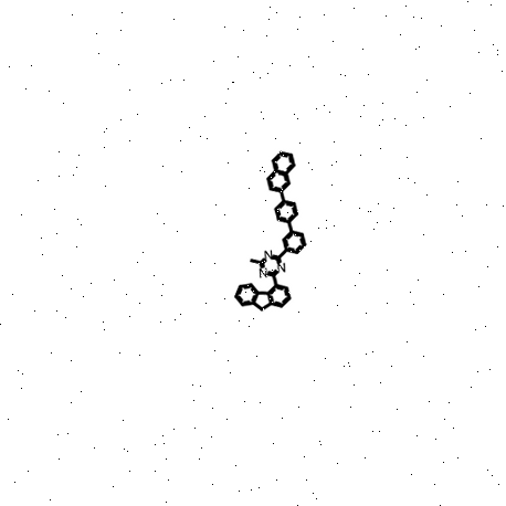 Cc1nc(-c2cccc(-c3ccc(-c4ccc5ccccc5c4)cc3)c2)nc(-c2cccc3c2-c2ccccc2C3)n1